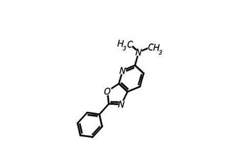 CN(C)c1ccc2nc(-c3ccccc3)oc2n1